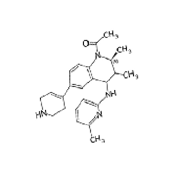 CC(=O)N1c2ccc(C3=CCNCC3)cc2C(Nc2cccc(C)n2)C(C)[C@@H]1C